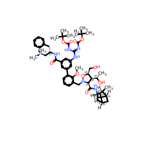 COc1c(CN2O[C@@H](CO)[C@@H]([C@H](C)O)[C@H]2C(=O)N[C@H]2C[C@H]3C[C@@H]([C@@H]2C)C3(C)C)cccc1-c1cc(N/C(=N/C(=O)OC(C)(C)C)NC(=O)OC(C)(C)C)cc(C(=O)N[C@@H](Cc2ccccc2)CN(C)C)c1